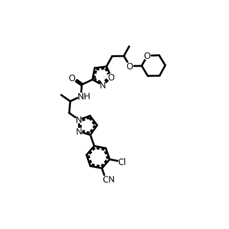 CC(Cn1ccc(-c2ccc(C#N)c(Cl)c2)n1)NC(=O)c1cc(CC(C)OC2CCCCO2)on1